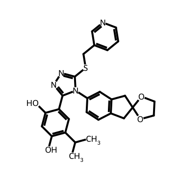 CC(C)c1cc(-c2nnc(SCc3cccnc3)n2-c2ccc3c(c2)CC2(C3)OCCO2)c(O)cc1O